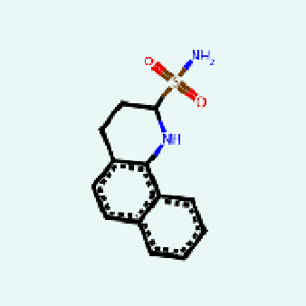 NS(=O)(=O)C1CCc2ccc3ccccc3c2N1